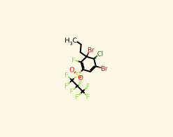 CCCC1(Br)[C](Cl)C(Br)=CC(S(=O)(=O)C(F)(F)C(F)(F)C(F)(F)F)=C1F